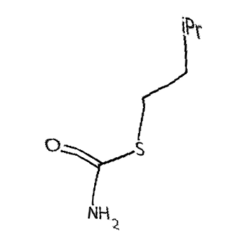 CC(C)CCSC(N)=O